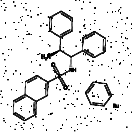 N[C@@H](c1ccccc1)[C@@H](NS(=O)(=O)c1ccc2ccccc2c1)c1ccccc1.[Ru].c1ccccc1